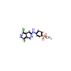 CS(=O)(=O)c1ccc(Nc2cc3c(Br)ncc(F)c3cn2)cc1